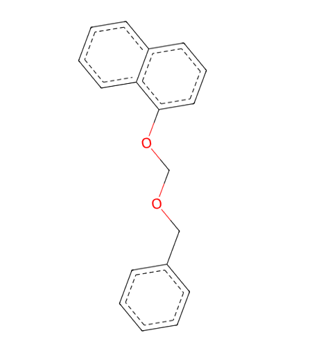 c1ccc(COCOc2cccc3ccccc23)cc1